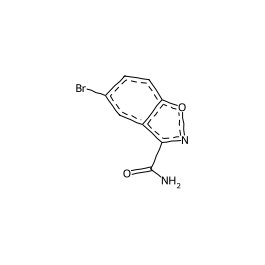 NC(=O)c1noc2ccc(Br)cc12